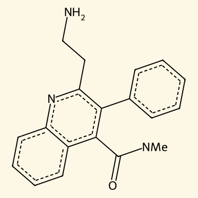 CNC(=O)c1c(-c2ccccc2)c(CCN)nc2ccccc12